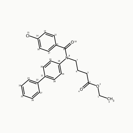 CCOC(=O)CCCN(C(=O)c1ccc(Cl)cc1)c1ccc(-c2ccccc2)cc1